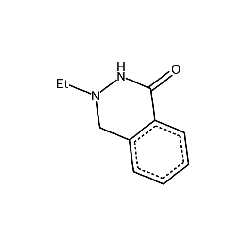 CCN1Cc2ccccc2C(=O)N1